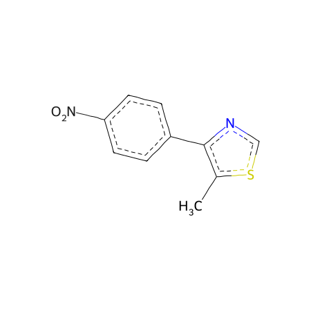 Cc1scnc1-c1ccc([N+](=O)[O-])cc1